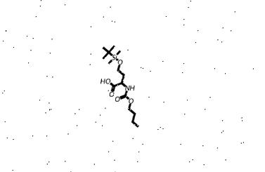 CCCCOC(=O)NC(CCO[Si](C)(C)C(C)(C)C)C(=O)O